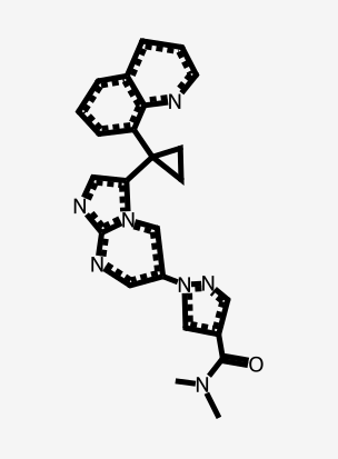 CN(C)C(=O)c1cnn(-c2cnc3ncc(C4(c5cccc6cccnc56)CC4)n3c2)c1